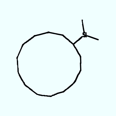 C[Si](C)C1CCCCCCCCCCCCC1